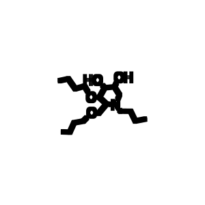 CCCCOCC1C(OCCCC)C(O)C(O)CN1CCCC